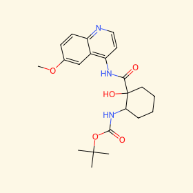 COc1ccc2nccc(NC(=O)C3(O)CCCCC3NC(=O)OC(C)(C)C)c2c1